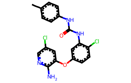 Cc1ccc(NC(=O)Nc2cc(Oc3cc(Cl)cnc3N)ccc2Cl)cc1